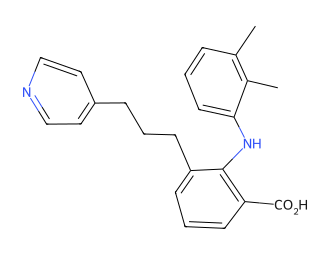 Cc1cccc(Nc2c(CCCc3ccncc3)cccc2C(=O)O)c1C